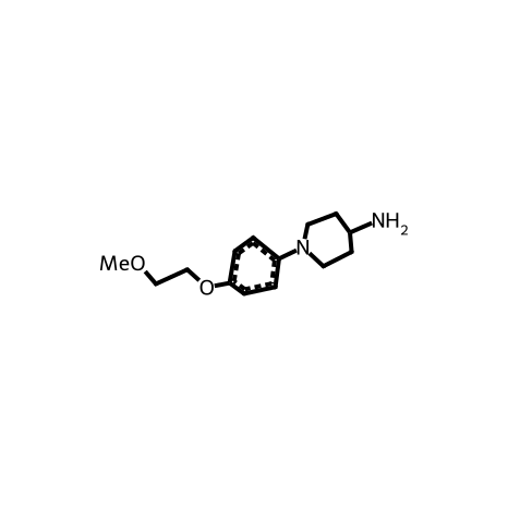 COCCOc1ccc(N2CCC(N)CC2)cc1